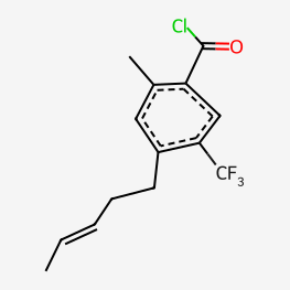 C/C=C/CCc1cc(C)c(C(=O)Cl)cc1C(F)(F)F